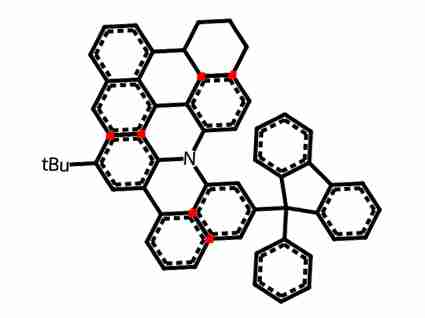 CC(C)(C)c1ccc(N(c2cccc(C3(c4ccccc4)c4ccccc4-c4ccccc43)c2)c2ccccc2-c2cccc3cccc(C4CCCCC4)c23)c(-c2ccccc2)c1